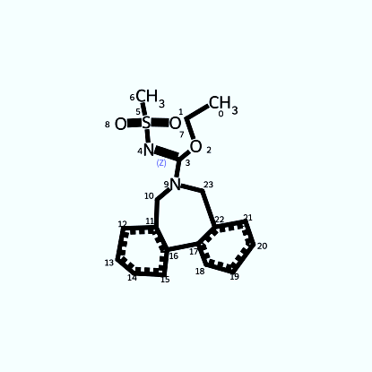 CCO/C(=N\S(C)(=O)=O)N1Cc2ccccc2-c2ccccc2C1